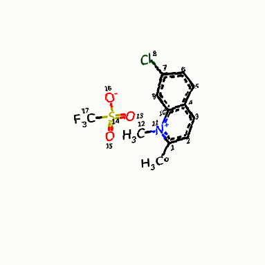 Cc1ccc2ccc(Cl)cc2[n+]1C.O=S(=O)([O-])C(F)(F)F